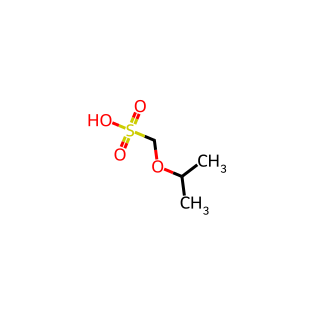 CC(C)OCS(=O)(=O)O